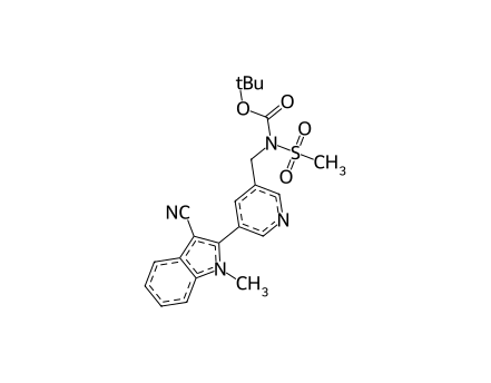 Cn1c(-c2cncc(CN(C(=O)OC(C)(C)C)S(C)(=O)=O)c2)c(C#N)c2ccccc21